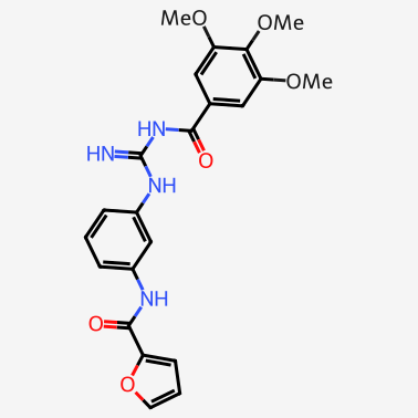 COc1cc(C(=O)NC(=N)Nc2cccc(NC(=O)c3ccco3)c2)cc(OC)c1OC